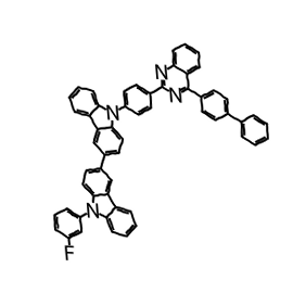 Fc1cccc(-n2c3ccccc3c3cc(-c4ccc5c(c4)c4ccccc4n5-c4ccc(-c5nc(-c6ccc(-c7ccccc7)cc6)c6ccccc6n5)cc4)ccc32)c1